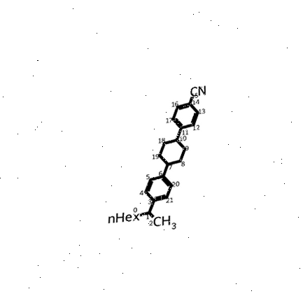 CCCCCCC(C)c1ccc(C2CCC(c3ccc(C#N)cc3)CC2)cc1